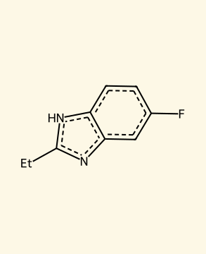 CCc1nc2cc(F)ccc2[nH]1